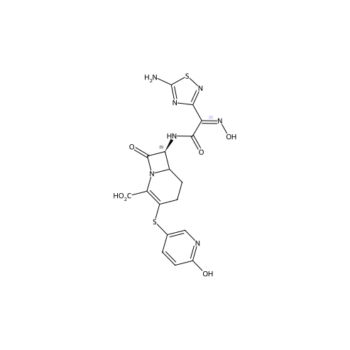 Nc1nc(/C(=N/O)C(=O)N[C@@H]2C(=O)N3C(C(=O)O)=C(Sc4ccc(O)nc4)CCC23)ns1